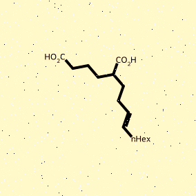 CCCCCCC=CCCC(CCCC(=O)O)C(=O)O